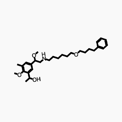 COc1c(C)cc(C(CNCCCCCCOCCCCc2ccccc2)OC)cc1C(C)O